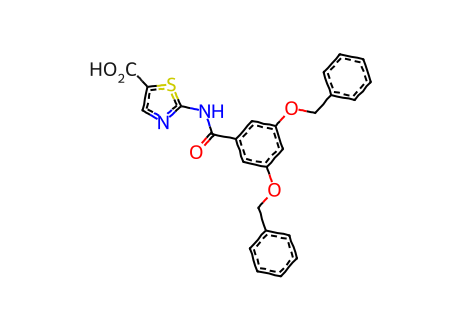 O=C(Nc1ncc(C(=O)O)s1)c1cc(OCc2ccccc2)cc(OCc2ccccc2)c1